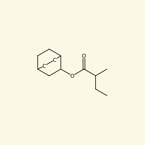 CCC(C)C(=O)OC1CC2CCC1CC2